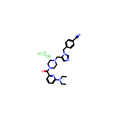 CCN(CC)c1cccc(C(=O)N2CCN(Cc3cncn3Cc3ccc(C#N)cc3)CC2)n1.Cl.Cl.Cl